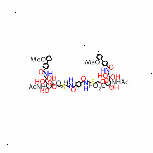 COc1ccccc1-c1ccc(C(=O)NC[C@@H](O)[C@@H](O)[C@@H]2O[C@@](OCCCSCCNC(=O)c3ccc(C(=O)NCCSCCCO[C@]4(C(=O)O)C[C@H](O)[C@@H](NC(C)=O)[C@H]([C@H](O)[C@H](O)CNC(=O)c5ccc(-c6ccccc6OC)cc5)O4)cc3)(C(=O)O)C[C@H](O)[C@H]2NC(C)=O)cc1